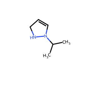 CC(C)N1C=CCN1